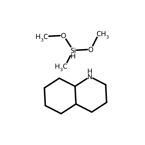 C1CCC2NCCCC2C1.CO[SiH](C)OC